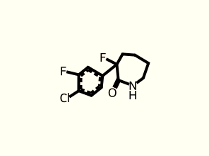 O=C1NCCCCC1(F)c1ccc(Cl)c(F)c1